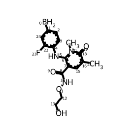 Bc1ccc(Nc2c(C(=O)NOCCO)cc(C)c(=O)n2C)c(F)c1